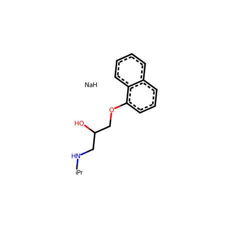 CC(C)NCC(O)COc1cccc2ccccc12.[NaH]